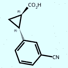 N#Cc1cccc([C@@H]2C[C@H]2C(=O)O)c1